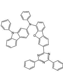 c1ccc(-c2nc(-c3ccccc3)nc(-c3ccc4c(c3)oc3c(N(c5ccccc5)c5ccc6c7ccccc7n(-c7ccccc7)c6c5)cccc34)n2)cc1